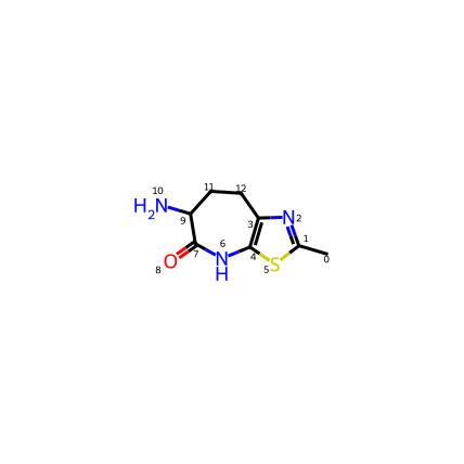 Cc1nc2c(s1)NC(=O)C(N)CC2